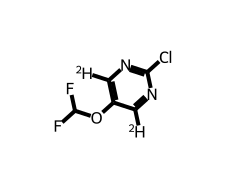 [2H]c1nc(Cl)nc([2H])c1OC(F)F